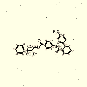 CCOC(=O)C(CCOC(=O)c1ccc(NC(=O)c2ccccc2-c2ccc(C(F)(F)F)cc2)cc1)(C(=O)OCC)c1ccccc1